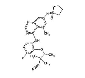 Cc1cc(N=S2(=O)CCCC2)cc2ncnc(Nc3ccc(F)cc3OC(C)C(C)(C)C#N)c12